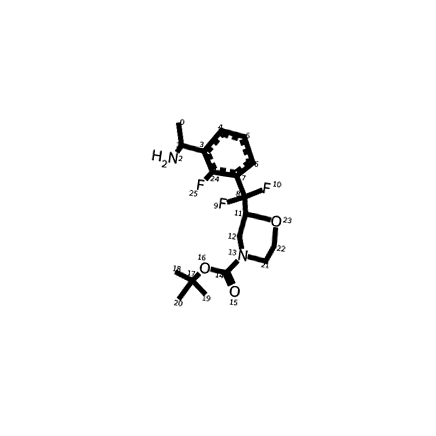 CC(N)c1cccc(C(F)(F)C2CN(C(=O)OC(C)(C)C)CCO2)c1F